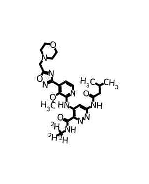 [2H]C([2H])([2H])NC(=O)c1nnc(NC(=O)CC(C)C)cc1Nc1nccc(-c2noc(CN3CCOCC3)n2)c1OC